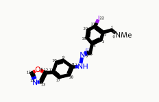 CNCc1cc(/C=N/Nc2ccc(-c3cnco3)cc2)ccc1I